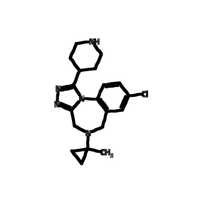 CC1(N2Cc3cc(Cl)ccc3-n3c(nnc3C3CCNCC3)C2)CC1